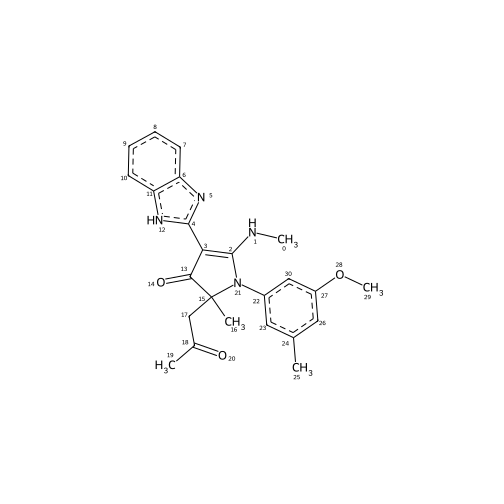 CNC1=C(c2nc3ccccc3[nH]2)C(=O)C(C)(CC(C)=O)N1c1cc(C)cc(OC)c1